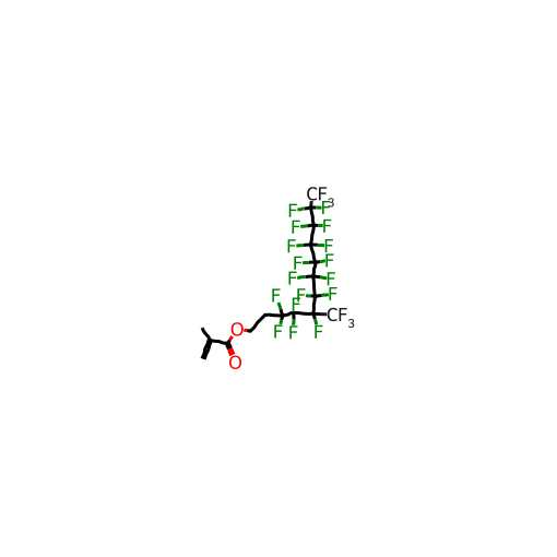 C=C(C)C(=O)OCCC(F)(F)C(F)(F)C(F)(C(F)(F)F)C(F)(F)C(F)(F)C(F)(F)C(F)(F)C(F)(F)C(F)(F)C(F)(F)F